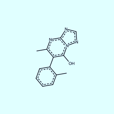 Cc1ccccc1-c1c(C)nc2ncnn2c1O